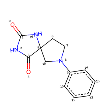 O=C1NC(=O)C2(CCN(c3ccccc3)C2)N1